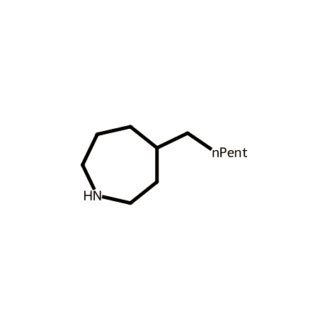 CCCCCCC1CCCNCC1